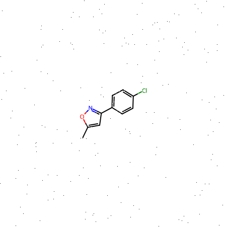 [CH2]c1cc(-c2ccc(Cl)cc2)no1